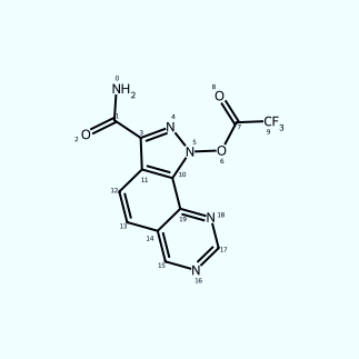 NC(=O)c1nn(OC(=O)C(F)(F)F)c2c1ccc1cncnc12